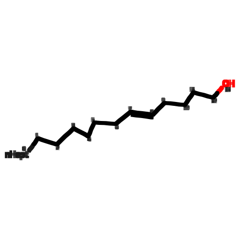 CCCCCCCCCCCCC/C=C/CCCCO